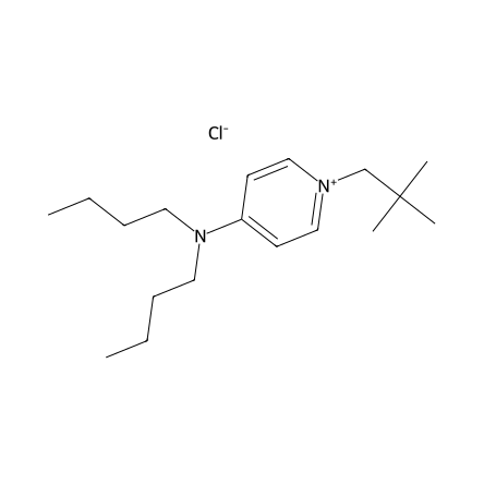 CCCCN(CCCC)c1cc[n+](CC(C)(C)C)cc1.[Cl-]